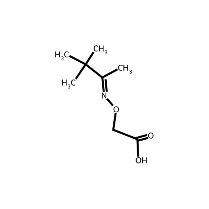 C/C(=N\OCC(=O)O)C(C)(C)C